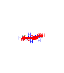 CC(C)(C)CC[C@H](NC(=O)c1ccc(Oc2cccc3c(C(=O)NCCNC(=O)CCCC[C@@H]4SC[C@@H]5NC(=O)N[C@@H]54)cccc23)nc1)C(=O)O